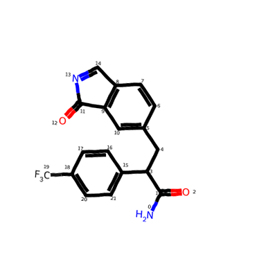 NC(=O)C(Cc1ccc2c(c1)C(=O)N=C2)c1ccc(C(F)(F)F)cc1